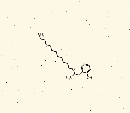 CCCCCCCCCCCCOC(C)Cc1ccccc1O